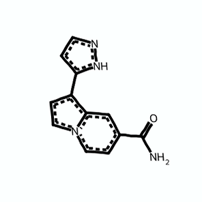 NC(=O)c1ccn2ccc(-c3ccn[nH]3)c2c1